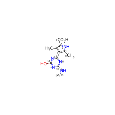 Cc1[nH]c(C(=O)O)c(C)c1-c1nc(O)nc(NC(C)C)n1